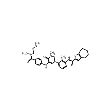 COCCN(C)C(=O)c1ccc(Nc2cc(-c3cccc(NC(=O)c4cc5c(s4)CCCCC5)c3C)cn(C)c2=O)nc1